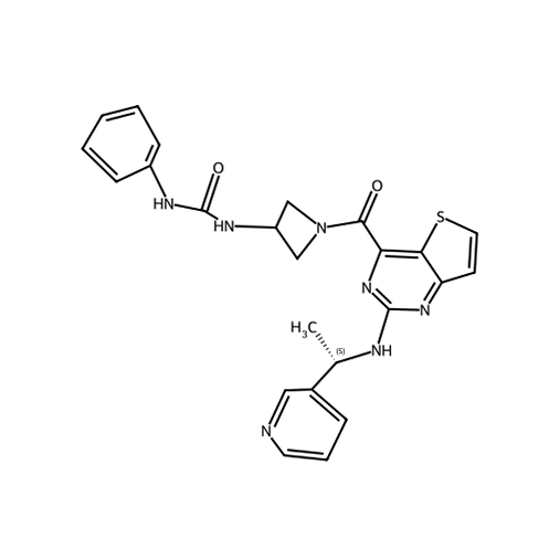 C[C@H](Nc1nc(C(=O)N2CC(NC(=O)Nc3ccccc3)C2)c2sccc2n1)c1cccnc1